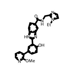 CCn1ccnc1CNC(=O)c1ccc2[nH]c(-c3cc(-c4cccnc4OC)ccc3O)nc2c1